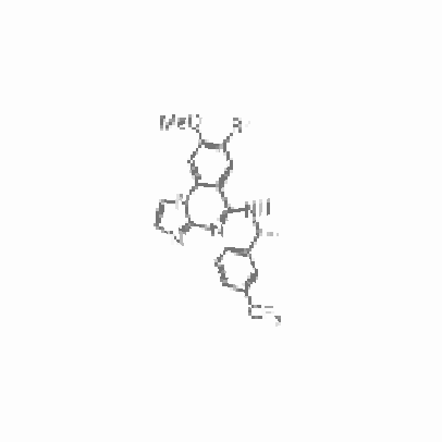 COc1cc2c(cc1Br)c(N[C@H](C)c1cccc(C(F)(F)F)c1)nc1nccn12